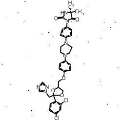 CC1(C)NC(=O)N(c2ccc(N3CCN(c4ccc(OCC5COC(Cn6cncn6)(c6ccc(Cl)cc6Cl)O5)cc4)CC3)cc2)C1=O